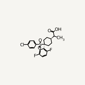 CC(C(=O)O)[C@H]1CC[C@@](c2cc(F)ccc2F)(S(=O)(=O)c2ccc(Cl)cc2)CC1